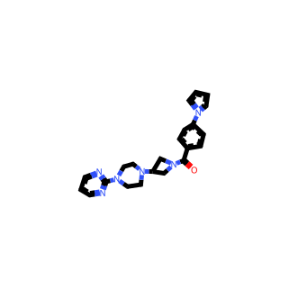 O=C(c1ccc(-n2cccc2)cc1)N1CC(N2CCN(c3ncccn3)CC2)C1